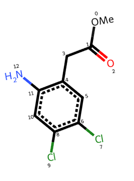 COC(=O)Cc1cc(Cl)c(Cl)cc1N